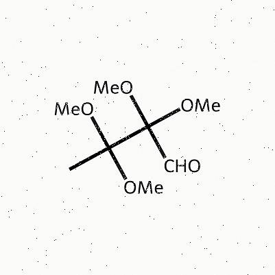 COC(C)(OC)C(C=O)(OC)OC